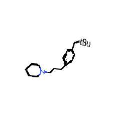 CC(C)(C)Cc1ccc(CCCN2CCCCC2)cc1